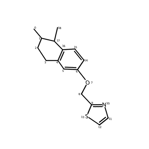 CC1CCc2cc(OCc3nccs3)ccc2C1C